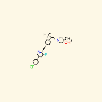 CC(=CCN1CCC(C)(O)CC1)c1ccc(C#Cc2ncc(-c3ccc(Cl)cc3)cc2F)cc1